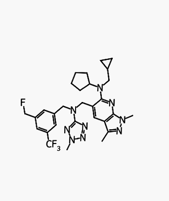 Cc1nn(C)c2nc(N(CC3CC3)C3CCCC3)c(CN(Cc3cc(CF)cc(C(F)(F)F)c3)c3nnn(C)n3)cc12